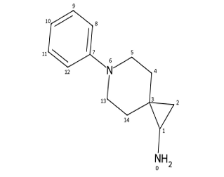 NC1CC12CCN(c1ccccc1)CC2